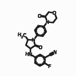 CC1CC(Nc2ccc(F)c(C#N)c2)C(=O)N1c1ccc(N2CCOCC2=O)cc1